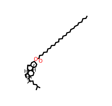 CCCCCCCCCCCCCCCCCCCCCCCCCC(=O)OC1CC[C@@]2(C)C(=CC[C@H]3[C@@H]4CC[C@H]([C@H](C)CCCC(C)C)[C@@]4(C)CC[C@@H]32)C1